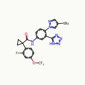 CC(C)(C)c1cnn(-c2ccc(NC(=O)C3(c4ccc(OC(F)(F)F)cc4F)CC3)cc2-c2nnn[nH]2)c1